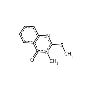 CSc1nc2cc[c]cc2c(=O)n1C